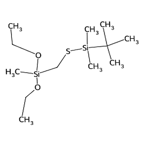 CCO[Si](C)(CS[Si](C)(C)C(C)(C)C)OCC